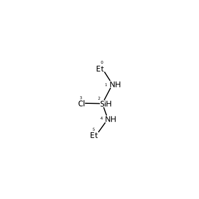 CCN[SiH](Cl)NCC